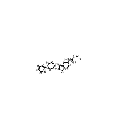 CC(=O)Nc1ccc2c(c1)C(CN1CCN(c3ccccn3)CC1)CC2